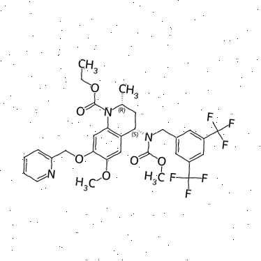 CCOC(=O)N1c2cc(OCc3ccccn3)c(OC)cc2[C@@H](N(Cc2cc(C(F)(F)F)cc(C(F)(F)F)c2)C(=O)OC)C[C@H]1C